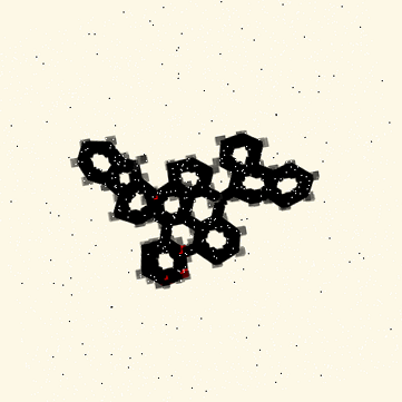 c1ccc(-c2ccccc2-c2c(-c3ccccc3)cccc2N(c2cccc(-c3cccc4c3sc3ccccc34)c2)c2cc3ccccc3c3ccccc23)cc1